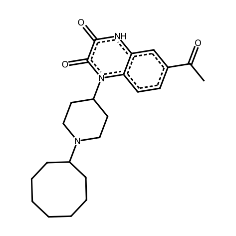 CC(=O)c1ccc2c(c1)[nH]c(=O)c(=O)n2C1CCN(C2CCCCCCC2)CC1